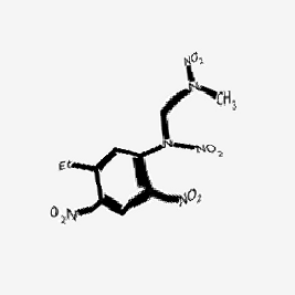 CCc1cc(N(CN(C)[N+](=O)[O-])[N+](=O)[O-])c([N+](=O)[O-])cc1[N+](=O)[O-]